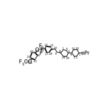 CCCC1CCC(C2CCC(CCc3ccc(C(F)(F)Oc4ccc(OC(F)(F)F)cc4)cc3)CC2)CC1